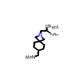 CCCCCC(CCCC)CN1CC2(CCC(CNC)CC2)C1